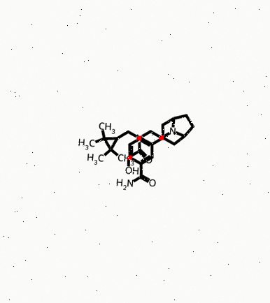 CC1(C)C(CN(CCN2C3CCC2CC(c2cccc(C(N)=O)c2)C3)C(=O)CO)C1(C)C